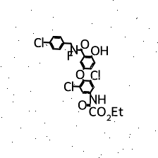 CCOC(=O)C(=O)Nc1cc(Cl)c(Oc2ccc(O)c(C(=O)N(F)Cc3ccc(Cl)cc3)c2)c(Cl)c1